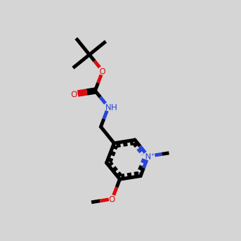 COc1cc(CNC(=O)OC(C)(C)C)c[n+](C)c1